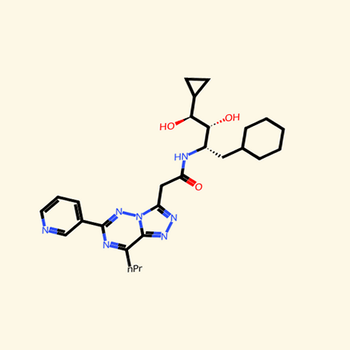 CCCc1nc(-c2cccnc2)nn2c(CC(=O)N[C@@H](CC3CCCCC3)[C@@H](O)[C@@H](O)C3CC3)nnc12